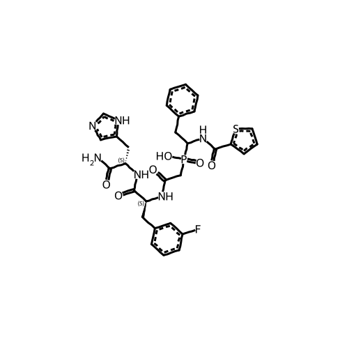 NC(=O)[C@H](Cc1cnc[nH]1)NC(=O)[C@H](Cc1cccc(F)c1)NC(=O)CP(=O)(O)C(Cc1ccccc1)NC(=O)c1cccs1